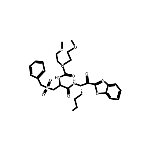 CCCC[C@H](NC(=O)C(CS(=O)(=O)Cc1ccccc1)NC(=O)N(CCOC)CCOC)C(=O)c1nc2ccccc2o1